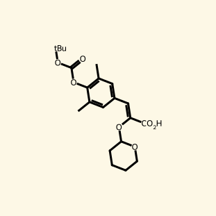 Cc1cc(/C=C(\OC2CCCCO2)C(=O)O)cc(C)c1OC(=O)OC(C)(C)C